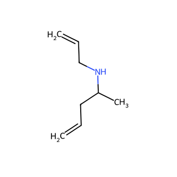 C=CCNC(C)CC=C